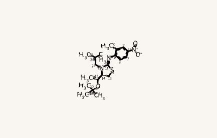 Cc1cc([N+](=O)[O-])ccc1/N=C1\SC[C@@H]([C@H](C)OC(C)(C)C)N1CC(C)C